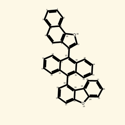 c1ccc2c(c1)ccc1c(-c3c4ccccc4c(-c4cccc5oc6ccccc6c45)c4ccccc34)coc12